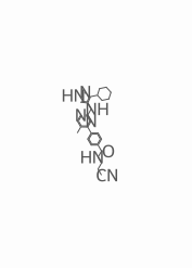 Cc1cnc(Nc2c[nH]nc2C2CCCCC2)nc1-c1ccc(C(=O)NCCC#N)cc1